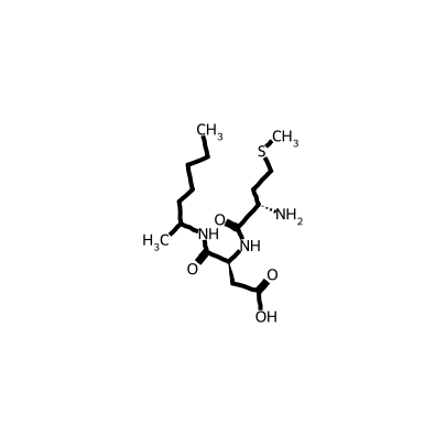 CCCCCC(C)NC(=O)[C@H](CC(=O)O)NC(=O)[C@@H](N)CCSC